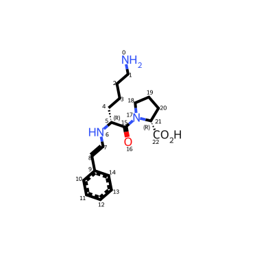 NCCCC[C@@H](NC=Cc1ccccc1)C(=O)N1CCC[C@@H]1C(=O)O